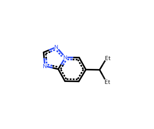 CCC(CC)c1ccc2ncnn2c1